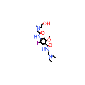 CCN(CC)CCNC(=O)c1cc(I)c(NC(=O)CN(C)CCO)cc1OC